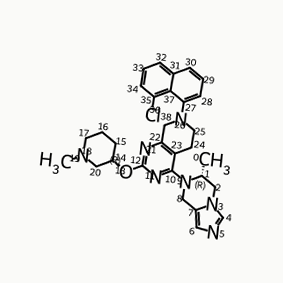 C[C@@H]1Cn2cncc2CN1c1nc(O[C@@H]2CCCN(C)C2)nc2c1CCN(c1cccc3cccc(Cl)c13)C2